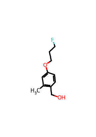 Cc1cc(OCCCF)ccc1CO